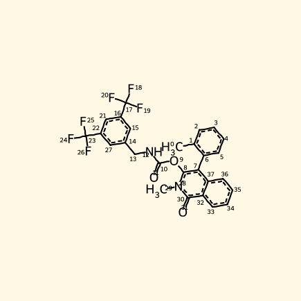 Cc1ccccc1-c1c(OC(=O)NCc2cc(C(F)(F)F)cc(C(F)(F)F)c2)n(C)c(=O)c2ccccc12